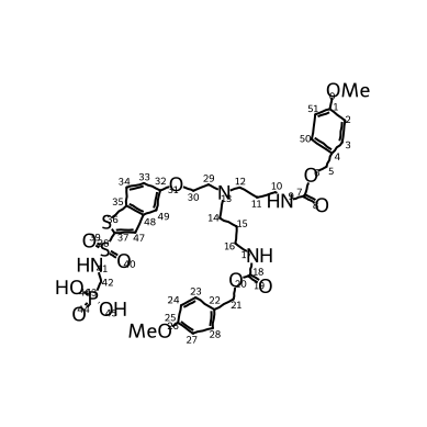 COc1ccc(COC(=O)NCCCN(CCCNC(=O)OCc2ccc(OC)cc2)CCOc2ccc3sc(S(=O)(=O)NCP(=O)(O)O)cc3c2)cc1